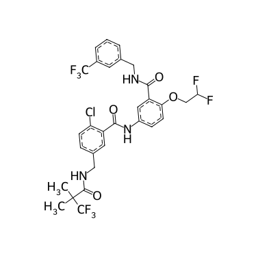 CC(C)(C(=O)NCc1ccc(Cl)c(C(=O)Nc2ccc(OCC(F)F)c(C(=O)NCc3cccc(C(F)(F)F)c3)c2)c1)C(F)(F)F